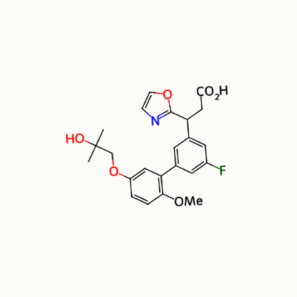 COc1ccc(OCC(C)(C)O)cc1-c1cc(F)cc(C(CC(=O)O)c2ncco2)c1